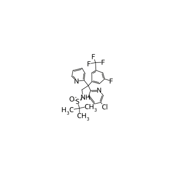 CC(C)(C)[S+]([O-])NCC(c1cc(F)cc(C(F)(F)F)c1)(c1ccccn1)c1ccc(Cl)cn1